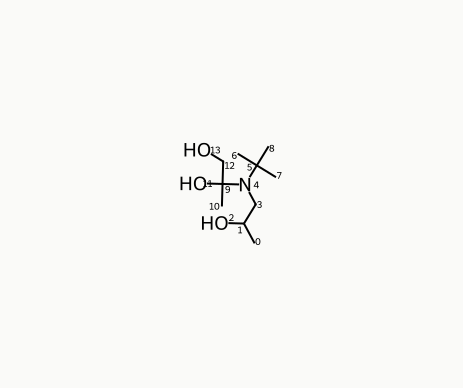 CC(O)CN(C(C)(C)C)C(C)(O)CO